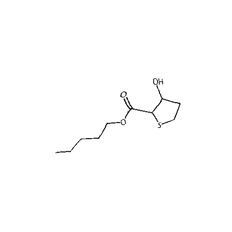 CCCCCOC(=O)C1SCCC1O